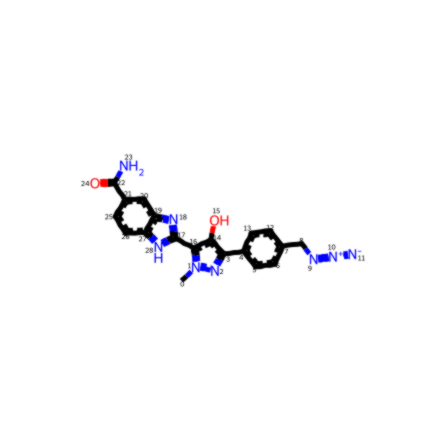 Cn1nc(-c2ccc(CN=[N+]=[N-])cc2)c(O)c1-c1nc2cc(C(N)=O)ccc2[nH]1